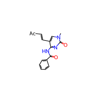 CC(=O)/C=C/c1cn(C)c(=O)nc1NC(=O)c1ccccc1